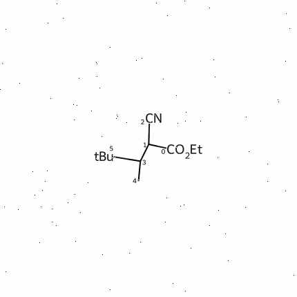 CCOC(=O)C(C#N)C(C)C(C)(C)C